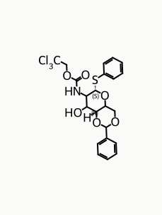 O=C(NC1C(O)[C@H]2OC(c3ccccc3)OCC2O[C@H]1Sc1ccccc1)OCC(Cl)(Cl)Cl